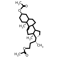 CC(=O)OCC[C@@H](C)[C@H]1CCC2C3CCC4C[C@H](OC(C)=O)CC[C@]4(C)C3=CC[C@@]21C